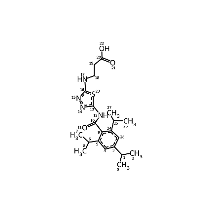 CC(C)c1cc(C(C)C)c(C(=O)Nc2nnc(NCCC(=O)O)s2)c(C(C)C)c1